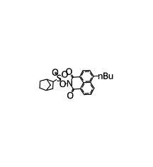 CCCCc1ccc2c3c(cccc13)C(=O)N(OS(=O)(=O)C1CC3CCC1C3)C2=O